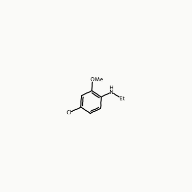 CCNc1ccc(Cl)cc1OC